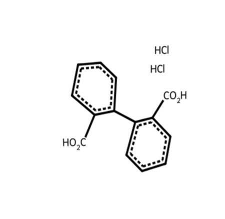 Cl.Cl.O=C(O)c1ccccc1-c1ccccc1C(=O)O